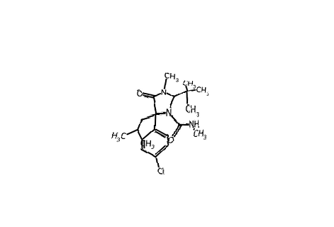 CNC(=O)N1C(C(C)(C)C)N(C)C(=O)C1(CC(C)C)c1ccc(Cl)cc1